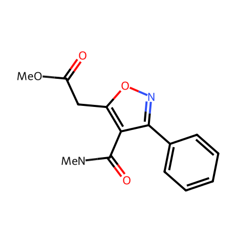 CNC(=O)c1c(-c2ccccc2)noc1CC(=O)OC